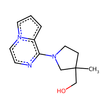 CC1(CO)CCN(c2nccn3cccc23)C1